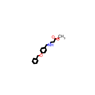 COC(=O)CCNCc1ccc(OCc2ccccc2)cc1